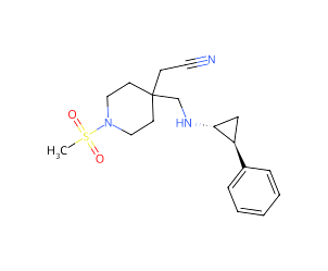 CS(=O)(=O)N1CCC(CC#N)(CN[C@@H]2C[C@H]2c2ccccc2)CC1